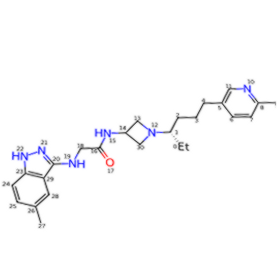 CC[C@@H](CCCc1ccc(C)nc1)N1CC(NC(=O)CNc2n[nH]c3ccc(C)cc23)C1